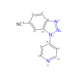 N#Cc1ccc2nnn(-c3ccncc3)c2c1